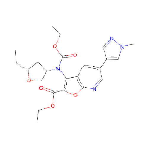 CCOC(=O)c1oc2ncc(-c3cnn(C)c3)cc2c1N(C(=O)OCC)[C@@H]1CO[C@H](CC)C1